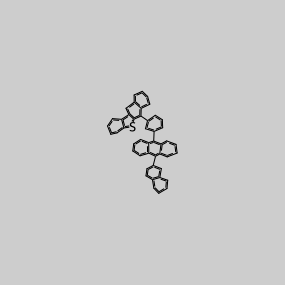 c1cc(-c2c3ccccc3c(-c3ccc4ccccc4c3)c3ccccc23)cc(-c2c3ccccc3cc3c2sc2ccccc23)c1